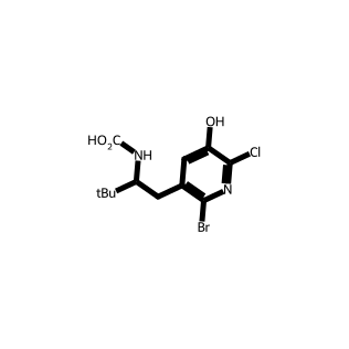 CC(C)(C)C(Cc1cc(O)c(Cl)nc1Br)NC(=O)O